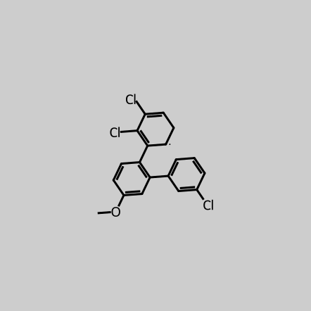 COc1ccc(C2=C(Cl)C(Cl)=CC[CH]2)c(-c2cccc(Cl)c2)c1